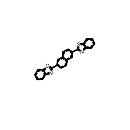 c1ccc2oc(-c3ccc4cc(-c5nc6ccccc6s5)ccc4c3)nc2c1